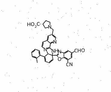 Cc1ccccc1C1=CC=CC(Nc2nccc3cc(CN4CC[C@@H](C(=O)O)C4)cnc23)(c2nc3cc(C=O)cc(C#N)c3o2)C1C